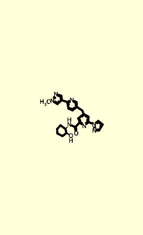 Cn1cc(-c2ccc(Cc3cc(C(=O)N[C@H]4CCCC[C@@H]4O)nc(-n4cccn4)c3)cn2)cn1